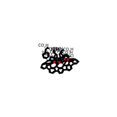 O=C(O)C(Cc1ccc([C@]23C4=C5[C@]6(c7ccc(CC(C(=O)O)C(=O)O)cc7)c7c8ccc(c72)-c2ccc7c(c23)[C@]2(c3ccc(CC(C(=O)O)C(=O)O)cc3)C4=C3[C@@]4(c9ccc(CC(C(=O)O)C(=O)O)cc9)c9c(ccc-7c92)-c2ccc7c(c24)[C@@](c2ccc(CC(C(=O)O)C(=O)O)cc2)(c2c-7ccc-8c26)[C@@]53Cl)cc1)C(=O)O